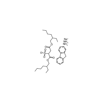 CCCCC(CC)COC(=O)CC(C(=O)OCC(CC)CCCC)S(=O)(=O)[O-].N.N.[Na+].c1ccc2c(c1)Cc1ccccc1-2